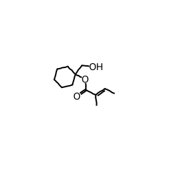 CC=C(C)C(=O)OC1(CO)CCCCC1